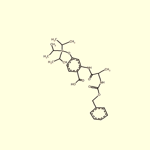 CC(NC(=O)OCc1ccccc1)C(=O)Nc1cc(O[Si](C(C)C)(C(C)C)C(C)C)ccc1C(=O)O